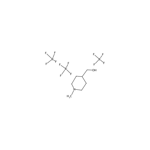 CN1CCC(CO)CC1.F[B-](F)(F)F.F[B-](F)(F)F.F[B-](F)(F)F